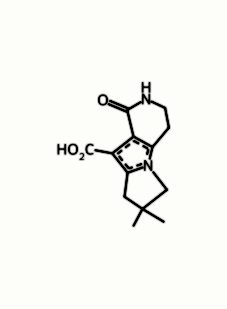 CC1(C)Cc2c(C(=O)O)c3c(n2C1)CCNC3=O